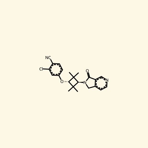 CC1(C)[C@H](Oc2ccc(C#N)c(Cl)c2)C(C)(C)[C@H]1N1Cc2ccncc2C1=O